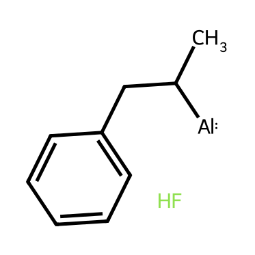 C[CH]([Al])Cc1ccccc1.F